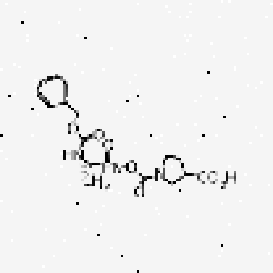 C[C@H](NC(=O)OCc1ccccc1)C(=O)NOC(=O)N1CCC(C(=O)O)C1